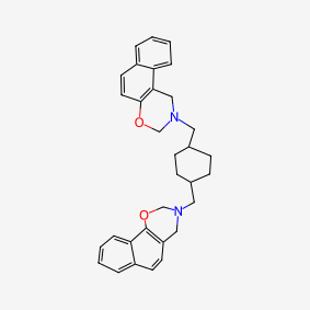 c1ccc2c3c(ccc2c1)OCN(CC1CCC(CN2COc4c(ccc5ccccc45)C2)CC1)C3